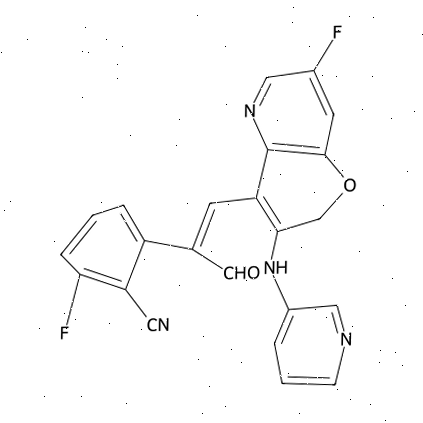 N#Cc1c(F)cccc1/C(C=O)=C/C1=C(Nc2cccnc2)COc2cc(F)cnc21